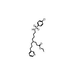 CCOC(=O)CCC(CCCCNS(=O)(=O)c1ccc(Cl)cc1)CCCc1cccnc1